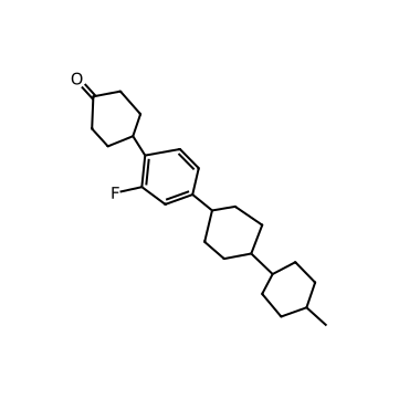 CC1CCC(C2CCC(c3ccc(C4CCC(=O)CC4)c(F)c3)CC2)CC1